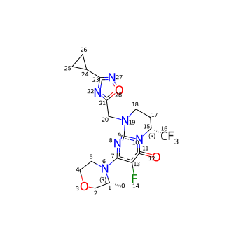 C[C@@H]1COCCN1c1nc2n(c(=O)c1F)[C@@H](C(F)(F)F)CCN2Cc1nc(C2CC2)no1